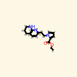 CCOC(=O)c1cccn1CCc1ccc2c(n1)NCCC2